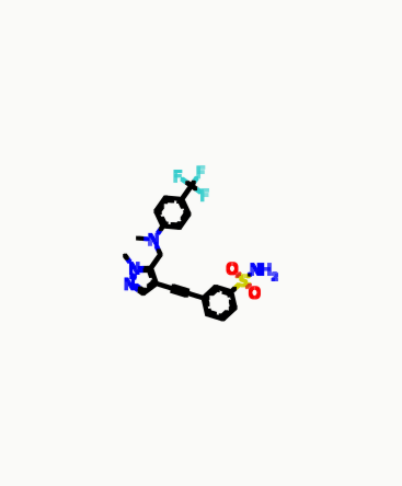 CN(Cc1c(C#Cc2cccc(S(N)(=O)=O)c2)cnn1C)c1ccc(C(F)(F)F)cc1